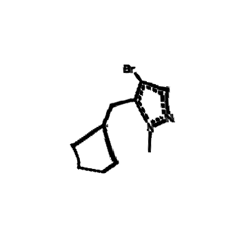 Cn1ncc(Br)c1C[C]1CCCC1